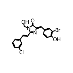 O=C1/C(=C/c2ccc(O)c(Br)c2)N=C(/C=C/c2cccc(Cl)c2)N1CO